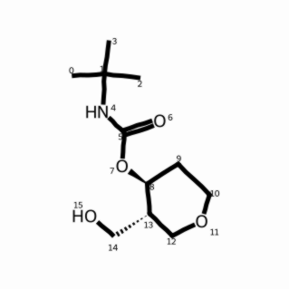 CC(C)(C)NC(=O)O[C@H]1CCOC[C@@H]1CO